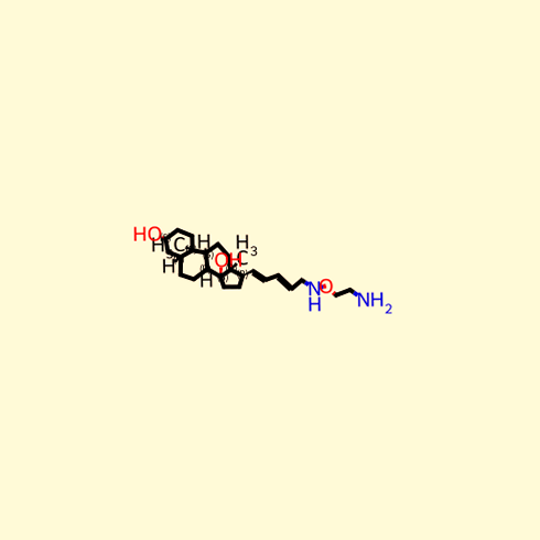 C[C@]12CC[C@H](O)C[C@H]1CC[C@@H]1[C@@H]2CC[C@]2(C)[C@@H](C=CC=CCNOCCN)CC[C@]12O